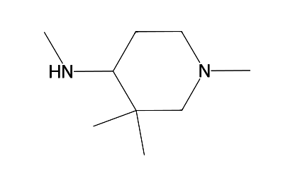 CNC1CCN(C)CC1(C)C